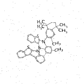 Cc1cc2c3c(c1)N(c1cc4c(cc1C)C(C)(C)CCC4(C)C)c1sc4ccccc4c1B3n1c3sc4ccccc4c3c3cccc-2c31